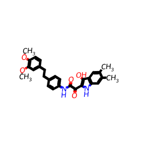 COc1ccc(CCc2ccc(NC(=O)C(=O)c3[nH]c4cc(C)c(C)cc4c3O)cc2)cc1OC